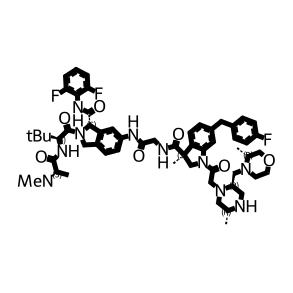 CN[C@@H](C)C(=O)N[C@H](C(=O)N1Cc2ccc(NC(=O)CNC(=O)[C@]3(C)CN(C(=O)CN4C[C@@H](C)NC[C@@H]4CN4CCOC[C@H]4C)c4cc(Cc5ccc(F)cc5)ccc43)cc2[C@H]1C(=O)Nc1c(F)cccc1F)C(C)(C)C